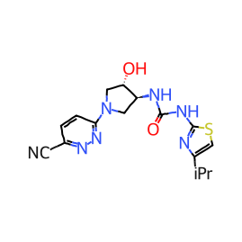 CC(C)c1csc(NC(=O)N[C@H]2CN(c3ccc(C#N)nn3)C[C@@H]2O)n1